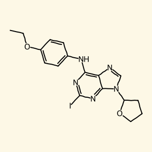 CCOc1ccc(Nc2nc(I)nc3c2ncn3C2CCCO2)cc1